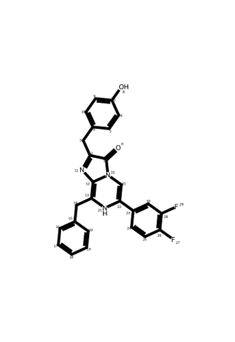 O=c1c(Cc2ccc(O)cc2)nc2c(Cc3ccccc3)[nH]c(-c3ccc(F)c(F)c3)cn1-2